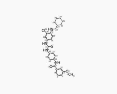 COc1cccc(C(=O)Nc2ccc(NC(=S)Nc3ccc(NCC4CCCCC4)c(Cl)c3)cc2)c1